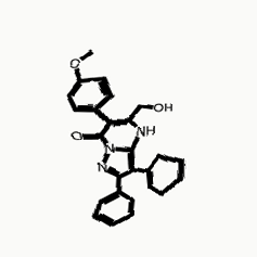 COc1ccc(-c2c(CO)[nH]c3c(C4=CCCCC4)c(-c4ccccc4)nn3c2=O)cc1